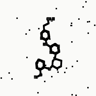 CCOc1ccccc1OC1CCCN(c2cncc(Nc3ccc(CCC(=O)O)cn3)n2)C1